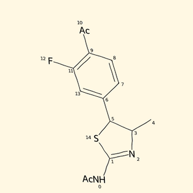 CC(=O)NC1=NC(C)C(c2ccc(C(C)=O)c(F)c2)S1